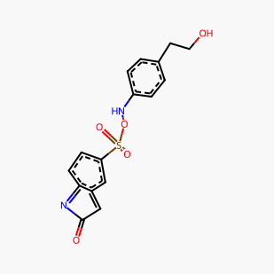 O=C1C=c2cc(S(=O)(=O)ONc3ccc(CCO)cc3)ccc2=N1